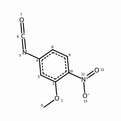 COc1cc(N=C=O)ccc1[N+](=O)[O-]